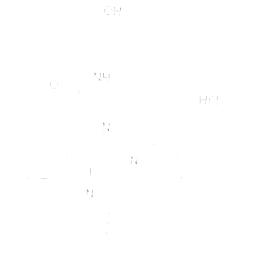 C=CCn1c(C)c(C)c2cc(C(=O)NCCO)nc(N3CCc4ccccc4C3)c21.Cl